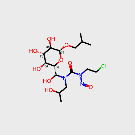 CC(C)CO[C@H]1O[C@H](C(O)N(CC(C)O)C(=O)N(CCCl)N=O)[C@@H](O)[C@H](O)[C@H]1O